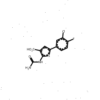 NC(=O)Nc1sc(-c2ccc(F)c(Cl)c2)cc1C(=O)O